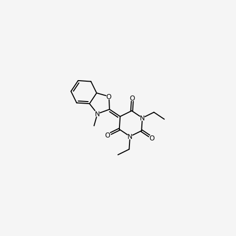 CCN1C(=O)C(=C2OC3CC=CC=C3N2C)C(=O)N(CC)C1=O